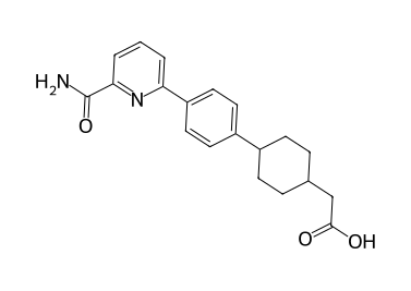 NC(=O)c1cccc(-c2ccc(C3CCC(CC(=O)O)CC3)cc2)n1